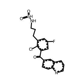 O=C(c1ccc2ncccc2c1)c1cc(F)cc(CCCN[SH](=O)=O)c1Cl